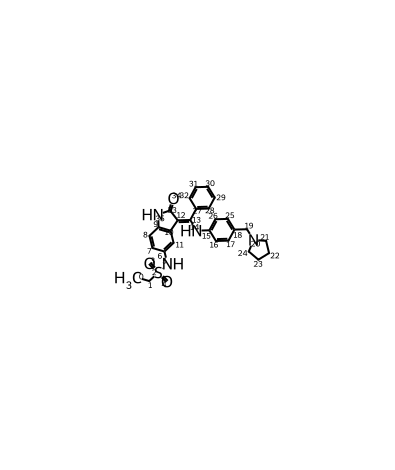 CCS(=O)(=O)Nc1ccc2c(c1)C(=C(Nc1ccc(CN3CCCC3)cc1)c1ccccc1)C(=O)N2